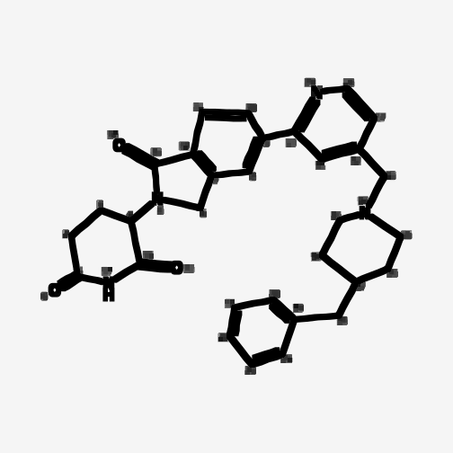 O=C1CCC(N2Cc3cc(-c4cc(CN5CCC(Cc6ccccc6)CC5)ccn4)ccc3C2=O)C(=O)N1